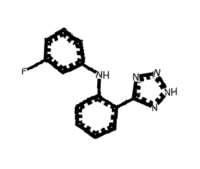 Fc1cccc(Nc2ccccc2-c2nn[nH]n2)c1